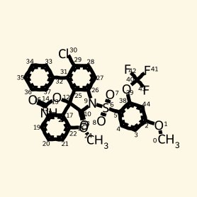 COc1ccc(S(=O)(=O)N2C(=O)C(OC(N)=O)(c3ccccc3OC)c3c2ccc(Cl)c3-c2ccccc2)c(OC(F)(F)F)c1